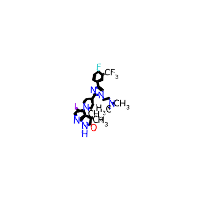 CN(C)CCn1cc(C2=CC(C(F)(F)F)C(F)C=C2)nc1C1CCN(c2c(I)cnc3c2C(C)(C)C(=O)N3)CC1